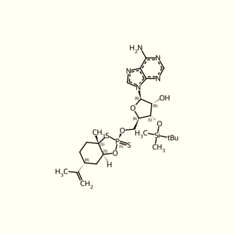 C=C(C)[C@@H]1CC[C@]2(C)S[P@@](=S)(OC[C@H]3O[C@@H](n4cnc5c(N)ncnc54)[C@H](O)[C@@H]3O[Si](C)(C)C(C)(C)C)O[C@H]2C1